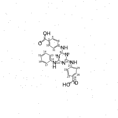 O=C(O)c1ccc(Nc2nc(Nc3ccccc3)nc(Nc3ccc(C(=O)O)cc3)n2)cc1